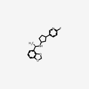 C[C@@H](NC1CCC(c2ccc(F)nc2)C1)c1cccc2c1OCO2